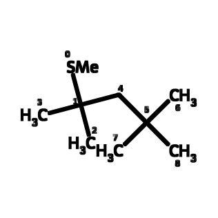 CSC(C)(C)CC(C)(C)C